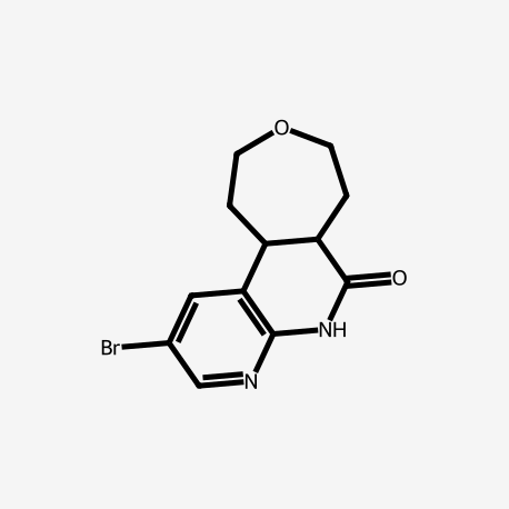 O=C1Nc2ncc(Br)cc2C2CCOCCC12